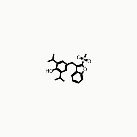 CC(C)c1cc(Cc2c(S(C)(=O)=O)oc3ccccc23)cc(C(C)C)c1O